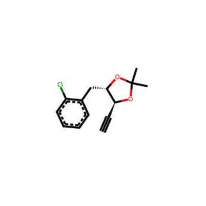 C#C[C@@H]1OC(C)(C)O[C@H]1Cc1ccccc1Cl